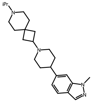 CC(C)N1CCC2(CC1)CC(N1CCC(c3ccc4cnn(C)c4c3)CC1)C2